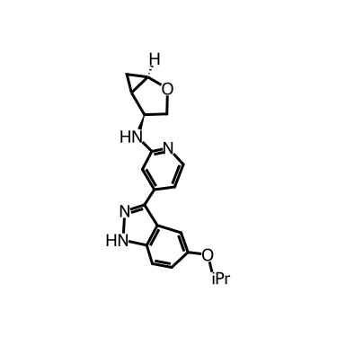 CC(C)Oc1ccc2[nH]nc(-c3ccnc(N[C@@H]4CO[C@@H]5CC45)c3)c2c1